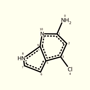 Nc1cc(Cl)c2cc[nH]c2n1